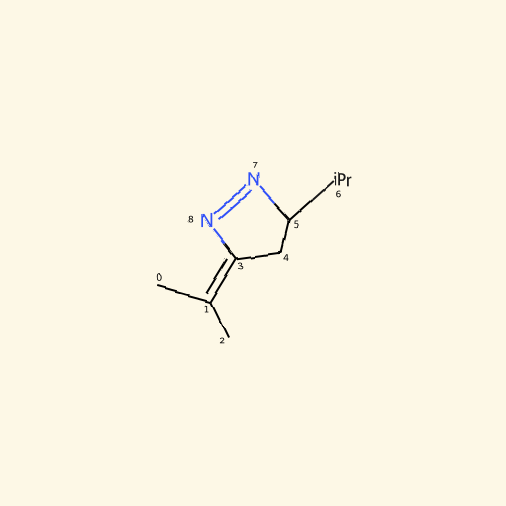 CC(C)=C1CC(C(C)C)N=N1